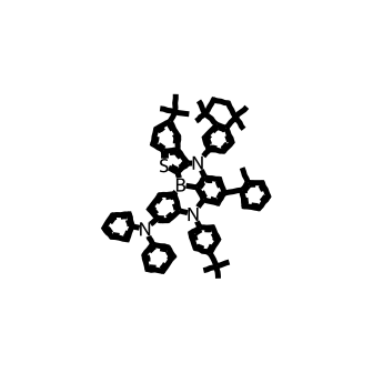 Cc1ccccc1-c1cc2c3c(c1)N(c1ccc4c(c1)C(C)(C)CCC4(C)C)c1c(sc4ccc(C(C)(C)C)cc14)B3c1ccc(N(c3ccccc3)c3ccccc3)cc1N2c1ccc(C(C)(C)C)cc1